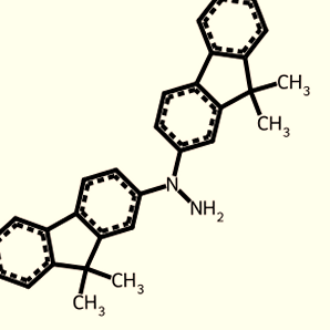 CC1(C)c2ccccc2-c2ccc(N(N)c3ccc4c(c3)C(C)(C)c3ccccc3-4)cc21